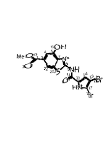 COC(=O)c1cc(O)c2nc(NC(=O)c3cc(Br)c(Br)[nH]3)sc2c1